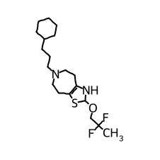 CC(F)(F)COC1NC2=C(CCN(CCCC3CCCCC3)CC2)S1